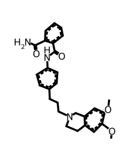 COc1cc2c(cc1OC)CN(CCCc1ccc(NC(=O)c3ccccc3C(N)=O)cc1)CC2